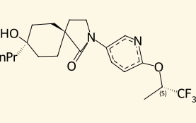 CCC[C@]1(O)CC[C@]2(CCN(c3ccc(O[C@@H](C)C(F)(F)F)nc3)C2=O)CC1